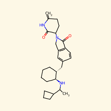 C=C1CCC(N2Cc3cc(C[C@H]4CCCC[C@@H]4NC(C)C4CCC4)ccc3C2=O)C(=O)N1